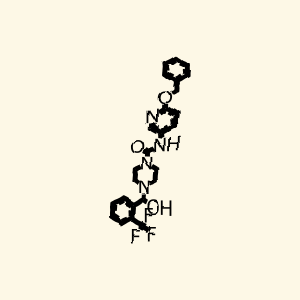 O=C(Nc1ccc(OCc2ccccc2)nc1)N1CCN(C(O)c2ccccc2C(F)(F)F)CC1